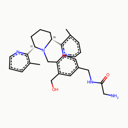 Cc1cccnc1[C@H]1CCC[C@@H](c2ncccc2C)N1Cc1ccc(CNC(=O)CN)cc1CO